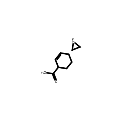 C1CN1.O=C(O)C1C=CCCC1